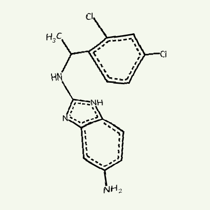 CC(Nc1nc2cc(N)ccc2[nH]1)c1ccc(Cl)cc1Cl